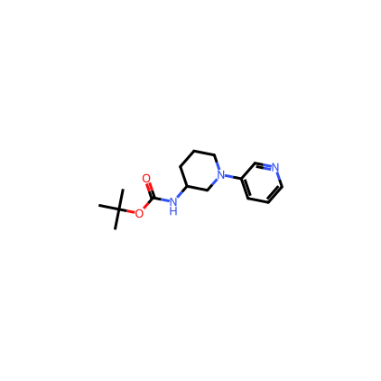 CC(C)(C)OC(=O)NC1CCCN(c2cccnc2)C1